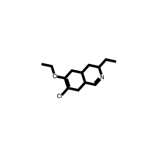 CCOC1=C(Cl)CC2C=NC(CC)CC2C1